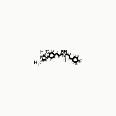 Cc1cn(-c2ccc(/C=C/c3nnc(CCc4ccc(F)cc4)[nH]3)cc2C)cn1